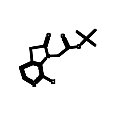 CC(C)(C)OC(=O)CN1C(=O)Cc2ccnc(Cl)c21